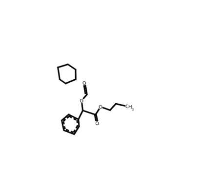 C1CCCCC1.CCCOC(=O)C(OC=O)c1ccccc1